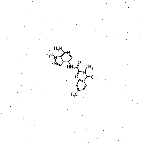 CC(c1ccc(C(F)(F)F)cc1)N(C)C(=O)C(=O)Nc1cnc(N)c2c1cnn2C